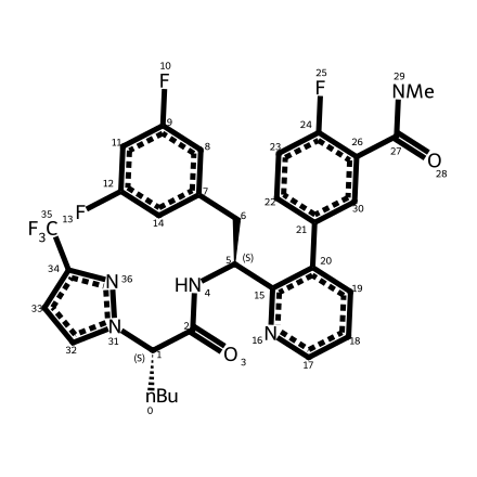 CCCC[C@@H](C(=O)N[C@@H](Cc1cc(F)cc(F)c1)c1ncccc1-c1ccc(F)c(C(=O)NC)c1)n1ccc(C(F)(F)F)n1